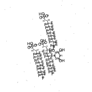 O=S(=O)(O)CCC(F)(F)C(F)(F)C(F)(F)C(F)(F)C(F)(F)C(F)(F)C(F)(F)C(F)(F)F.O=S(=O)(O)CCC(F)(F)C(F)(F)C(F)(F)C(F)(F)C(F)(F)C(F)(F)C(F)(F)C(F)(F)F.O=S(=O)(O)CCC(F)(F)C(F)(F)C(F)(F)C(F)(F)C(F)(F)C(F)(F)C(F)(F)C(F)(F)F.Oc1ccc(O)c(O)c1